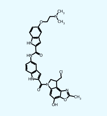 Cc1nc2c3c(cc(O)c2o1)N(C(=O)c1cc2cc(NC(=O)c4cc5cc(OCCN(C)C)ccc5[nH]4)ccc2[nH]1)CC3CCl